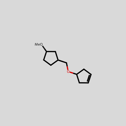 COC1CCC(COC2CC=CC2)C1